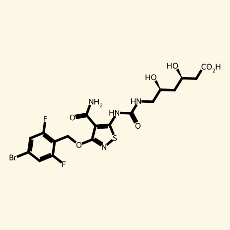 NC(=O)c1c(OCc2c(F)cc(Br)cc2F)nsc1NC(=O)NC[C@@H](O)C[C@@H](O)CC(=O)O